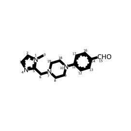 Cn1ccnc1CN1CCN(c2ccc(C=O)cc2)CC1